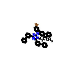 CC1(C)c2ccccc2-c2cc3c4cc(Br)ccc4n(-c4nc(-c5cccc(-c6ccccc6)c5)nc(-c5cccc(-c6ccccc6)c5)n4)c3cc21